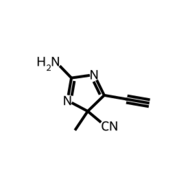 C#CC1=NC(N)=NC1(C)C#N